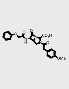 COc1ccc(CC(=O)N2CC3[C@H](NC(=O)COc4ccccc4)C(=O)N3C2C(=O)O)cc1